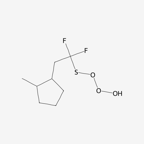 CC1CCCC1CC(F)(F)SOOO